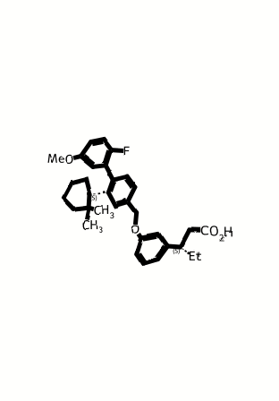 CC[C@@H](CC(=O)O)c1cccc(OCc2ccc(-c3cc(OC)ccc3F)c([C@H]3CCCCC3(C)C)c2)c1